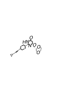 O=c1cc(OC[C@H]2COCCO2)nc(-c2ccc(C#CC3CC3)cc2)[nH]1